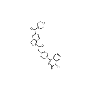 O=C(c1ccc2c(c1)CCN2C(=O)Cc1ccc(-c2n[nH]c(=O)c3ccccc23)cc1)N1CCOCC1